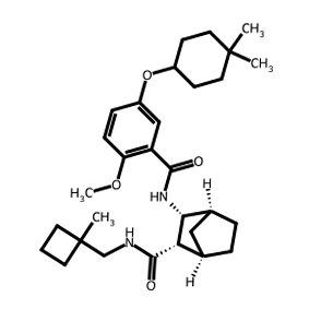 COc1ccc(OC2CCC(C)(C)CC2)cc1C(=O)N[C@@H]1[C@H]2CC[C@H](C2)[C@@H]1C(=O)NCC1(C)CCC1